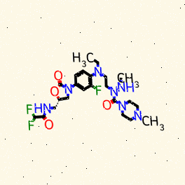 CCN(CCN(NC)C(=O)N1CCN(C)CC1)c1ccc(N2C[C@H](CNC(=O)C(F)F)OC2=O)cc1F